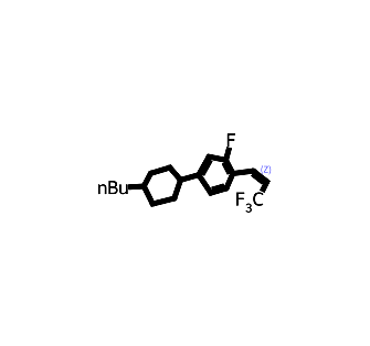 CCCCC1CCC(c2ccc(/C=C\C(F)(F)F)c(F)c2)CC1